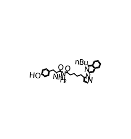 CCCCc1nc(-n2nccc2CCCCC(=O)NC(=O)[C@@H](N)Cc2ccc(O)cc2)cc2ccccc12